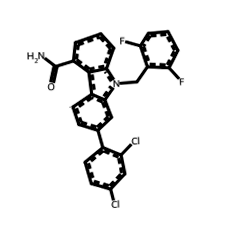 NC(=O)c1cccc2c1c1[c]cc(-c3ccc(Cl)cc3Cl)cc1n2Cc1c(F)cccc1F